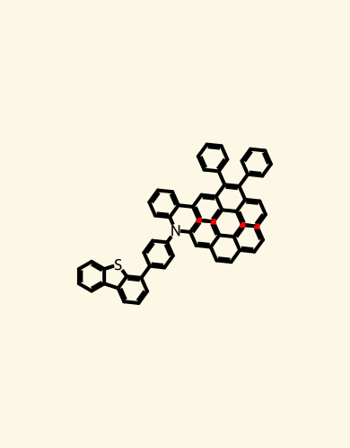 c1ccc(-c2c(-c3ccccc3)c3cc(-c4ccccc4N(c4ccc(-c5cccc6c5sc5ccccc56)cc4)c4ccc5c(ccc6ccccc65)c4)ccc3c3ccccc23)cc1